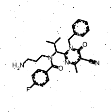 Cc1nc(C(C(C)C)N(CCCN)C(=O)c2ccc(F)cc2)n(Cc2ccccc2)c(=O)c1C#N